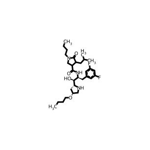 CCCCO[C@H]1CN[C@@H]([C@@H](O)[C@H](Cc2cc(F)cc(F)c2)NC(=O)C2CN(CCCC)C(=O)C2CC(C)C)C1